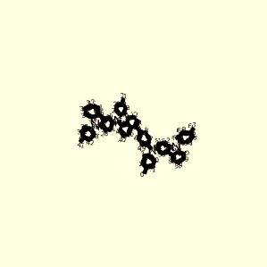 Cc1ccc(N(c2ccc(-c3cccc4c(N(c5ccc(C)cc5)c5ccc6c(c5)c5ccccc5n6-c5ccc(C)cc5)cccc34)cc2)c2ccc3c(c2)c2ccccc2n3-c2ccc(C)cc2)cc1